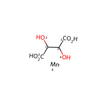 O=C(O)C(O)C(O)C(=O)O.[Mn]